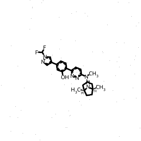 CN(c1ccc(-c2ccc(-c3cnn(C(F)F)c3)cc2O)nn1)[C@@H]1C[C@]2(C)CC[C@](C)(C1)N2